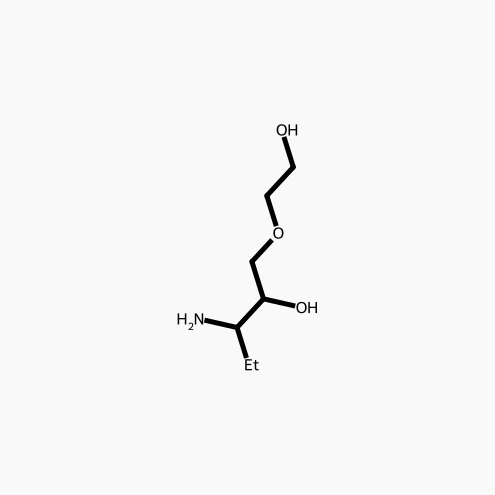 CCC(N)C(O)COCCO